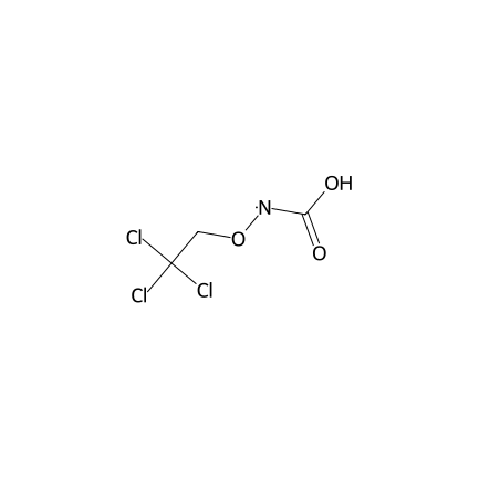 O=C(O)[N]OCC(Cl)(Cl)Cl